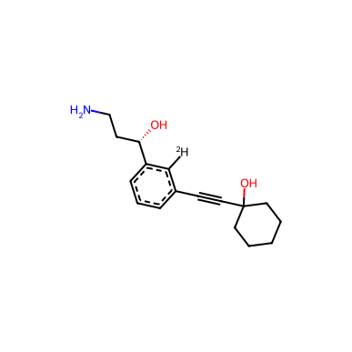 [2H]c1c(C#CC2(O)CCCCC2)cccc1[C@@H](O)CCN